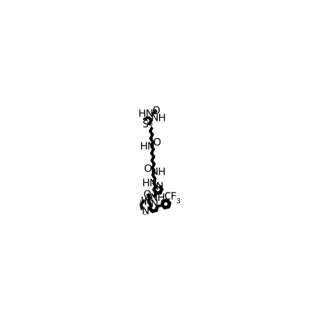 C[C@@H]1CCN(C)c2ccc(-c3cccc(C(F)(F)F)c3)nc2N1C(=O)Nc1ccnc(NCCNC(=O)CCCCCNC(=O)CCCC[C@@H]2SCC3NC(=O)NC32)c1